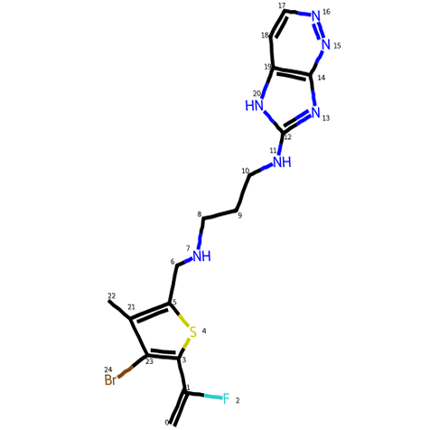 C=C(F)c1sc(CNCCCNc2nc3nnccc3[nH]2)c(C)c1Br